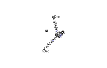 CCCCCCCCCCCCCCCCCCCCC/C=C/CCCc1ccccc1/N=C\C(CCCC)=N\c1ccccc1CCC/C=C/CCCCCCCCCCCCCCCCCCCCC.[Ni]